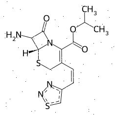 CC(C)OC(=O)C1=C(/C=C\c2csnn2)CS[C@@H]2C(N)C(=O)N12